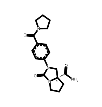 NC(=O)[C@]12[CH]CCN1C(=O)N(c1ccc(C(=O)N3CCCC3)cc1)C2